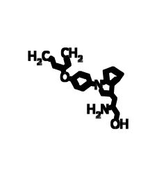 C=C/C=C(\C=C)Oc1ccc(-n2cc(CC(N)CO)c3ccccc32)cc1